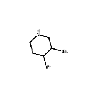 CC(C)C1CCNCC1C(C)(C)C